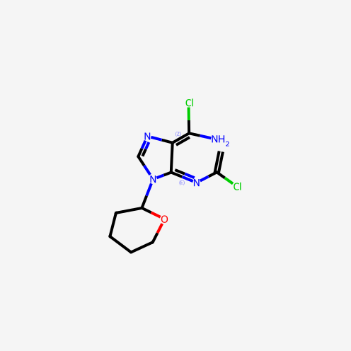 C=C(Cl)/N=C1\C(=C(/N)Cl)N=CN1C1CCCCO1